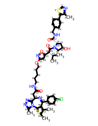 Cc1ncsc1-c1ccc(CNC(=O)[C@@H]2C[C@@H](O)CN2C(=O)[C@@H](c2cc(OCCCCCNC(=O)CC3N=C(c4ccc(Cl)cc4)c4c(sc(C)c4C)-n4c(C)nnc43)no2)C(C)C)cc1